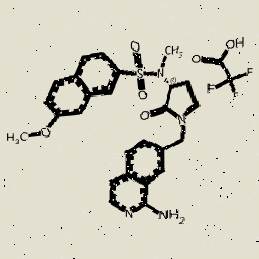 COc1ccc2ccc(S(=O)(=O)N(C)[C@@H]3CCN(Cc4ccc5ccnc(N)c5c4)C3=O)cc2c1.O=C(O)C(F)(F)F